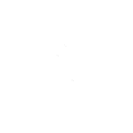 c1ccc(-n2c3ccc4c(c5ccccc5n4-c4nc5ccccc5s4)c3c3ccc4ccccc4c32)cc1